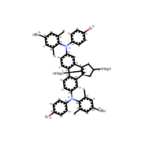 CCCCCCCC1C[C@]23CC(CCCCCCC)C[C@@]2(C1)c1cc(N(c2ccc(Br)cc2)c2c(C)cc(CCCC)cc2C)ccc1-c1ccc(N(c2ccc(Br)cc2)c2c(C)cc(CCCC)cc2C)cc13